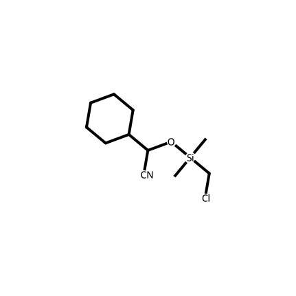 C[Si](C)(CCl)OC(C#N)C1CCCCC1